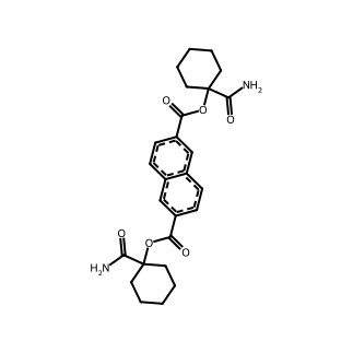 NC(=O)C1(OC(=O)c2ccc3cc(C(=O)OC4(C(N)=O)CCCCC4)ccc3c2)CCCCC1